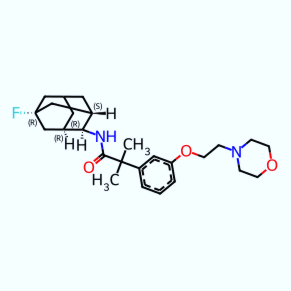 CC(C)(C(=O)N[C@H]1[C@@H]2CC3C[C@H]1C[C@](F)(C3)C2)c1cccc(OCCN2CCOCC2)c1